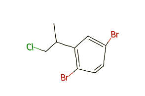 CC(CCl)c1cc(Br)ccc1Br